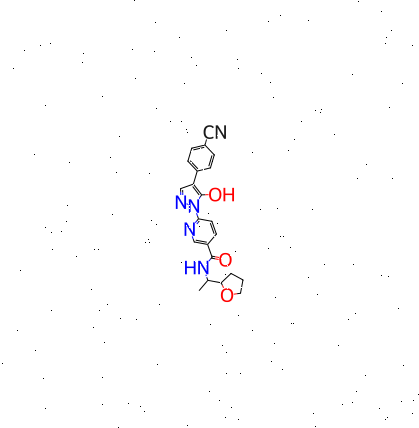 CC(NC(=O)c1ccc(-n2ncc(-c3ccc(C#N)cc3)c2O)nc1)C1CCCO1